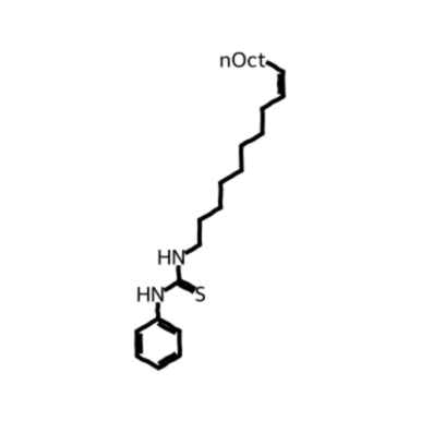 CCCCCCCC/C=C\CCCCCCCCNC(=S)Nc1ccccc1